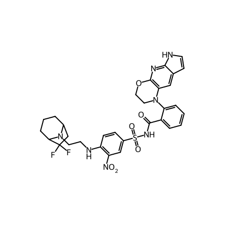 O=C(NS(=O)(=O)c1ccc(NCCN2C3CCCC2C(F)(F)C3)c([N+](=O)[O-])c1)c1ccccc1N1CCOc2nc3[nH]ccc3cc21